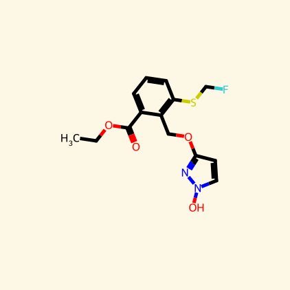 CCOC(=O)c1cccc(SCF)c1COc1ccn(O)n1